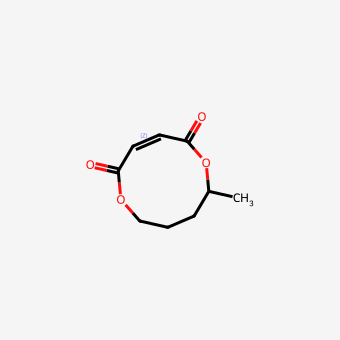 CC1CCCOC(=O)/C=C\C(=O)O1